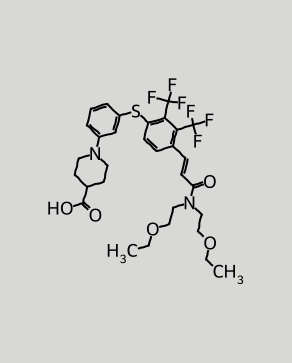 CCOCCN(CCOCC)C(=O)C=Cc1ccc(Sc2cccc(N3CCC(C(=O)O)CC3)c2)c(C(F)(F)F)c1C(F)(F)F